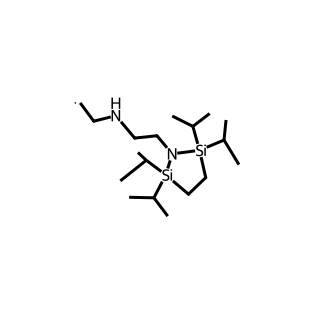 [CH2]CNCCN1[Si](C(C)C)(C(C)C)CC[Si]1(C(C)C)C(C)C